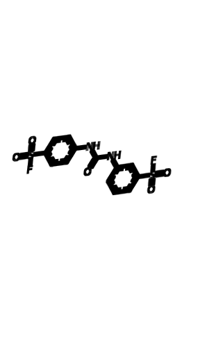 O=C(Nc1ccc(S(=O)(=O)F)cc1)Nc1cccc(S(=O)(=O)F)c1